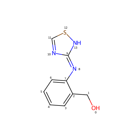 OCc1ccccc1N=c1ncs[nH]1